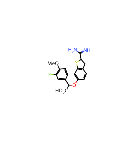 COc1ccc(C(Oc2ccc3c(c2)SC(C(=N)N)C3)C(=O)O)cc1F